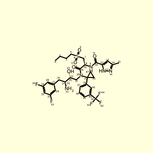 CCCCS(=O)(=O)C[C@@H](NC(=O)c1cc(C)n[nH]1)C(=O)N(C[C@@H](O)[C@@H](N)Cc1cc(F)cc(F)c1)C1(c2cccc(C(F)(F)F)c2)CC1